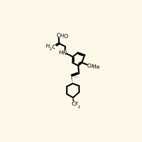 C=C(C=O)CNc1ccc(OC)c(/C=C/[C@H]2CC[C@H](C(F)(F)F)CC2)c1